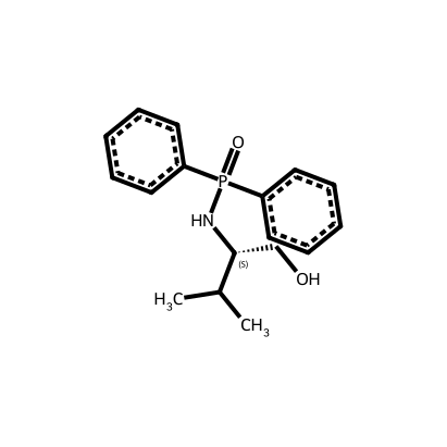 CC(C)[C@@H](CO)NP(=O)(c1ccccc1)c1ccccc1